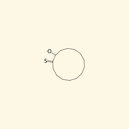 [O]C1CCCCCCCCCCCCC1=S